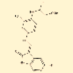 CCC(COC)Nc1ccc(NC=C2C(=O)Nc3ccc(F)cc32)cc1C(F)(F)F